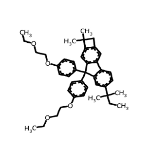 CCOCCOc1ccc(C2(c3ccc(OCCOCC)cc3)c3cc(C(C)(C)CC)ccc3-c3cc4c(cc32)C(C)(C)C4)cc1